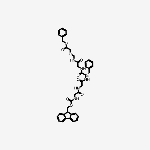 O=C(CNC(=O)OCC1c2ccccc2-c2ccccc21)NCC(=O)N[C@@H](Cc1ccccc1)C(=O)NCC(=O)NCOCC(=O)OCc1ccccc1